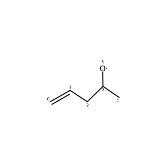 C=CCC(C)[O]